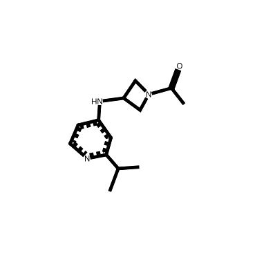 CC(=O)N1CC(Nc2ccnc(C(C)C)c2)C1